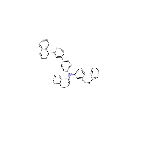 c1cc(-c2ccc(N(c3ccc4c(ccc5ccccc54)c3)c3cccc4ccccc34)cc2)cc(-c2cccc3ccccc23)c1